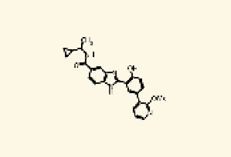 COc1ncccc1-c1ccc(O)c(-c2nc3cc(C(=O)NC(C)C4CC4)ccc3[nH]2)c1